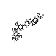 COc1cc(N2CCN([C@H]3C4CC5CC3C[C@](C(=O)OC)(C5)C4)CC2)ccc1Nc1ncc(C(F)(F)F)c(Cl)n1